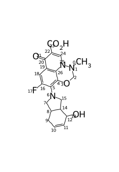 CN1COc2c(N3CC4CC=CC(O)C4C3)c(F)cc3c(=O)c(C(=O)O)cn1c23